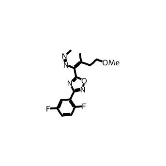 C/N=N\C(=C(/C)CCOC)c1nc(-c2cc(F)ccc2F)no1